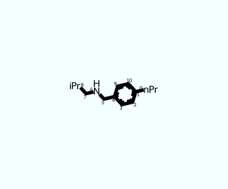 CCCc1ccc(CNCC(C)C)cc1